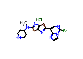 CN(c1nc2sc(-c3cnc(Br)n4ccnc34)nc2s1)C1CCNCC1.Cl